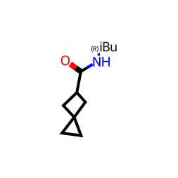 CC[C@@H](C)NC(=O)C1CC2(CC2)C1